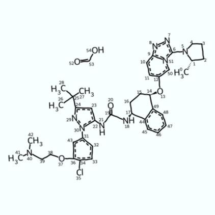 C[C@H]1CCCN1c1nnc2ccc(O[C@@H]3CC[C@H](NC(=O)Nc4cc(C(C)(C)C)nn4-c4ccc(Cl)c(OCCN(C)C)c4)c4ccccc43)cn12.O=CO